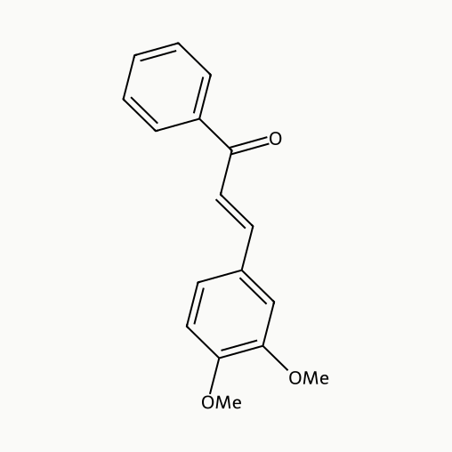 COc1ccc(/C=C/C(=O)c2ccccc2)cc1OC